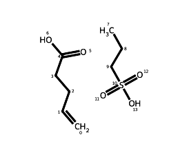 C=CCCC(=O)O.CCCS(=O)(=O)O